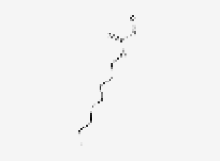 CCCCCCCCOC(=O)[N+]=O